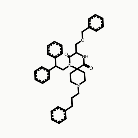 O=C1C(COCc2ccccc2)NC(=O)C2(CCN(CCCc3ccccc3)CC2)N1CC(c1ccccc1)c1ccccc1